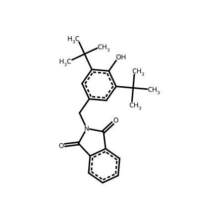 CC(C)(C)c1cc(CN2C(=O)c3ccccc3C2=O)cc(C(C)(C)C)c1O